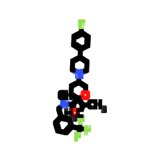 CC(C)C1(C(=O)N(C)Cc2cccc(C(F)(F)F)c2)CCC(N2CCC(c3ccc(F)cc3)CC2)CO1